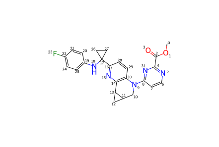 COC(=O)c1nccc(N2CC3CC3c3nc(C4(Nc5ccc(F)cc5)CC4)ccc32)n1